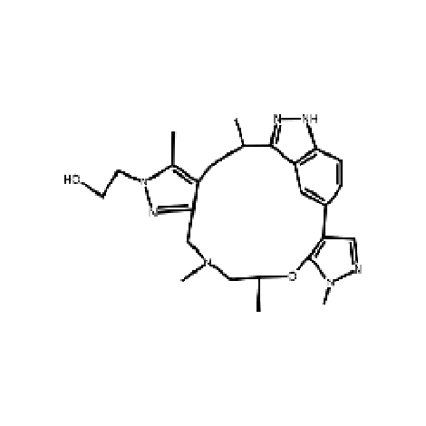 Cc1c2c(nn1CCO)CN(C)C[C@H](C)Oc1c(cnn1C)-c1ccc3[nH]nc(c3c1)C(C)C2